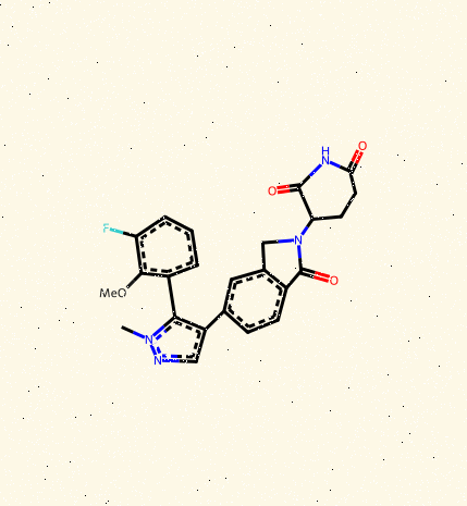 COc1c(F)cccc1-c1c(-c2ccc3c(c2)CN(C2CCC(=O)NC2=O)C3=O)cnn1C